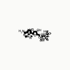 N#C[C@@]1(c2ccc3c(N)ncnn23)OC(COP(=O)(O)OP(=O)(O)OP(=O)(O)O)[C@@H](O)[C@H]1O